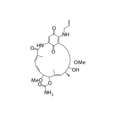 C=CCNC1=C2CCC[C@H](OC)C(O)[C@@H](C)/C=C(\C)C(OC(N)=O)C(OC)/C=C\C=C(/C)C(=O)NC(=CC1=O)C2=O